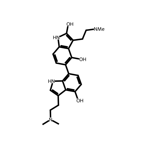 CNCCc1c(O)[nH]c2ccc(-c3ccc(O)c4c(CCN(C)C)c[nH]c34)c(O)c12